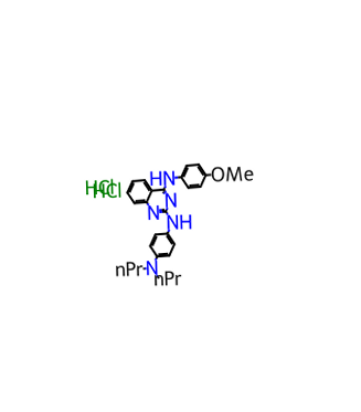 CCCN(CCC)c1ccc(Nc2nc(Nc3ccc(OC)cc3)c3ccccc3n2)cc1.Cl.Cl